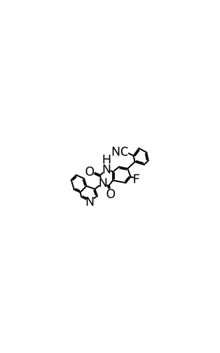 N#Cc1ccccc1-c1cc2[nH]c(=O)n(-c3cncc4ccccc34)c(=O)c2cc1F